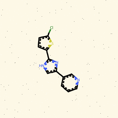 Clc1ccc(-c2nc(-c3cccnc3)c[nH]2)s1